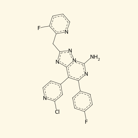 Nc1nc(-c2ccc(F)cc2)c(-c2ccnc(Cl)c2)c2nc(Cc3ncccc3F)nn12